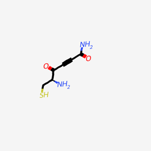 NC(=O)C#CC(=O)[C@@H](N)CS